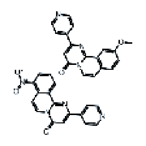 COc1ccc2ccn3c(=O)cc(-c4ccncc4)nc3c2c1.O=c1cc(-c2ccncc2)nc2c3cccc([N+](=O)[O-])c3ccn12